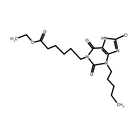 CCCCCn1c(=O)n(CCCCCC(=O)OCC)c(=O)c2[nH]c(Cl)nc21